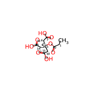 CCC(=O)O[Si](CC(=O)O)(CC(=O)O)CC(=O)O